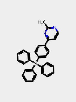 Cc1nccc(-c2ccc([Si](c3ccccc3)(c3ccccc3)c3ccccc3)cc2)n1